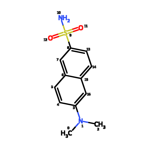 CN(C)c1ccc2cc(S(N)(=O)=O)ccc2c1